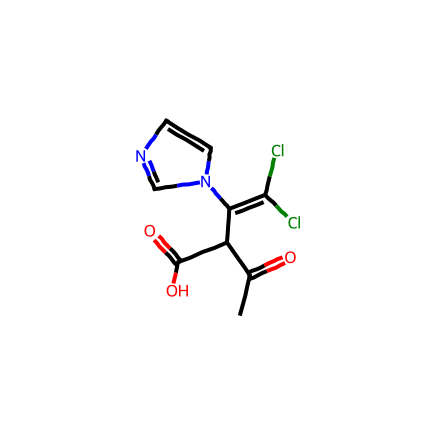 CC(=O)C(C(=O)O)C(=C(Cl)Cl)n1ccnc1